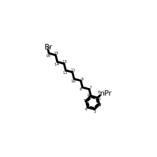 CCCc1ccccc1CCCCCCCCCCBr